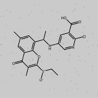 CC[S+]([O-])c1oc2c(C(C)Nc3cnc(Cl)c(C(=O)O)c3)cc(C)cc2c(=O)c1C